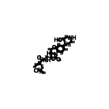 C=C(Cl)S/C(=C\C)C(=O)NC[C@@H]1OC(=O)N2c3ccc(N4CCNCC4O)cc3OC[C@@H]12